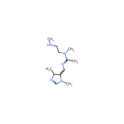 CNCCN(C)/C(C)=N/C=C1\C(C)N=CN1C